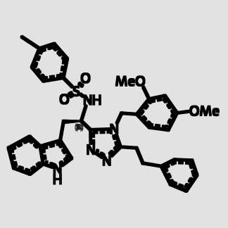 COc1ccc(Cn2c(CCc3ccccc3)nnc2[C@@H](Cc2c[nH]c3ccccc23)NS(=O)(=O)c2ccc(C)cc2)c(OC)c1